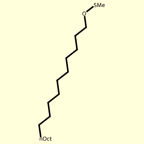 CCCCCCCCCCCCCCCCCCOSC